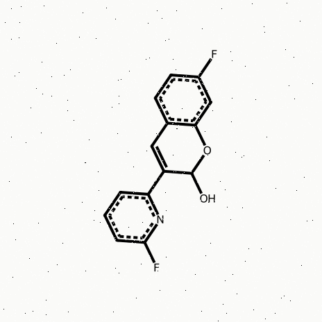 OC1Oc2cc(F)ccc2C=C1c1cccc(F)n1